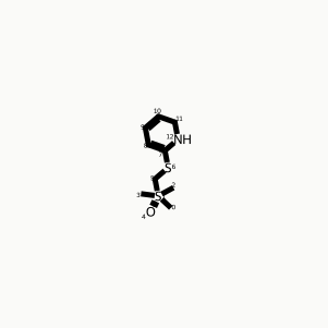 CS(C)(C)(=O)CSC1=CC=CCN1